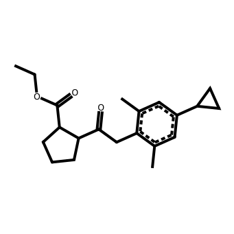 CCOC(=O)C1CCCC1C(=O)Cc1c(C)cc(C2CC2)cc1C